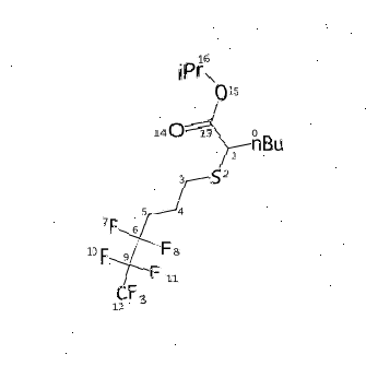 CCCCC(SCCCC(F)(F)C(F)(F)C(F)(F)F)C(=O)OC(C)C